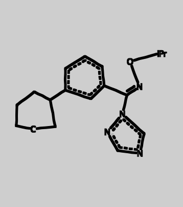 CC(C)O/N=C(\c1cccc(C2CCCCC2)c1)n1cncn1